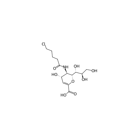 O=C(CCCCCl)N[C@H]1[C@H]([C@H](O)[C@H](O)CO)OC(C(=O)O)=C[C@@H]1O